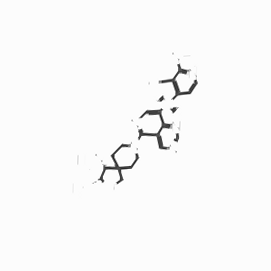 C[C@@H]1OCC2(CCN(c3ncc(S(=O)(=O)c4ccnc(N)c4Cl)c4ncncc34)CC2)[C@@H]1N